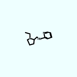 CCN1CCCC1CNc1ccccn1